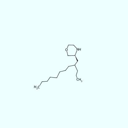 CCCCCCCCC(CCC)C[C@H]1COCCN1